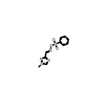 Cn1cnc(/C=N/OS(=O)(=O)c2ccccc2)n1